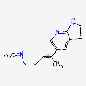 C=N/C=C\C=C(/C)c1cnc2[nH]ccc2c1